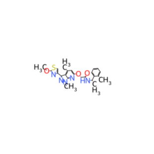 COc1nc(-c2nn(C)c3nc(OCC(=O)NC(C)c4ccccc4C)cc(C)c23)cs1